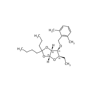 CCCCC1(CCC)O[C@H]2O[C@H](CC)[C@H](OCc3c(C)cccc3C)[C@H]2O1